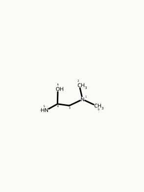 CN(C)CC([NH])O